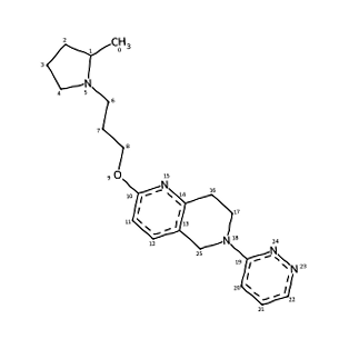 CC1CCCN1CCCOc1ccc2c(n1)CCN(c1cccnn1)C2